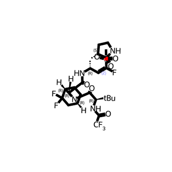 CC(C)(C)[C@@H](NC(=O)C(F)(F)F)C(=O)N1[C@@H]2CC[C@H]([C@@H]1C(=O)N[C@@H](/C=C(/F)S(C)(=O)=O)C[C@@H]1CCNC1=O)C(F)(F)C2